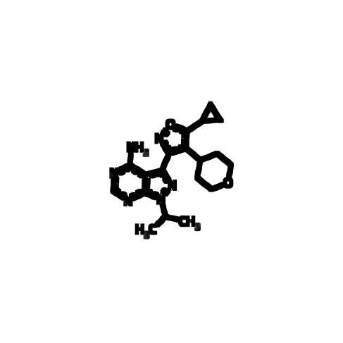 CC(C)n1nc(-c2noc(C3CC3)c2C2CCOCC2)c2c(N)ncnc21